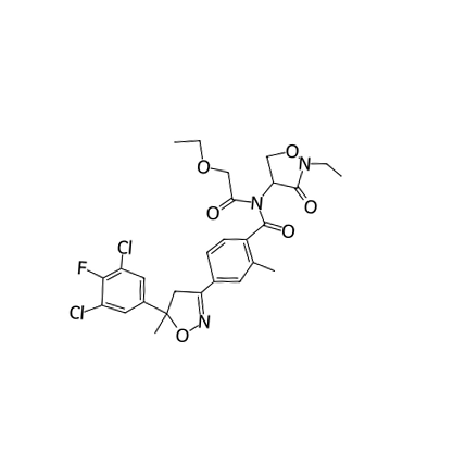 CCOCC(=O)N(C(=O)c1ccc(C2=NOC(C)(c3cc(Cl)c(F)c(Cl)c3)C2)cc1C)C1CON(CC)C1=O